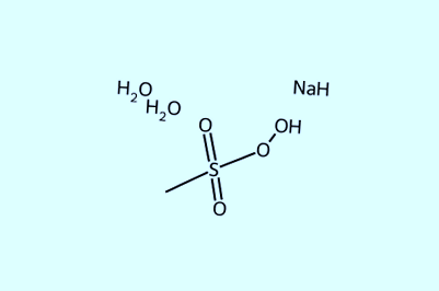 CS(=O)(=O)OO.O.O.[NaH]